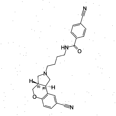 N#Cc1ccc(C(=O)NCCCCN2C[C@H]3COc4ccc(C#N)cc4[C@@H]3C2)cc1